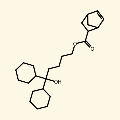 O=C(OCCCCC(O)(C1CCCCC1)C1CCCCC1)C1CC2C=CC1C2